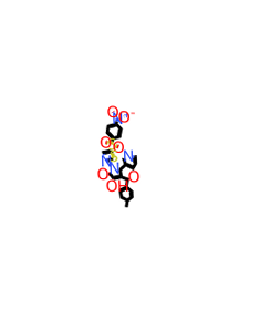 CC1C=CC(C(=O)C2=C(O)C(=O)N(c3ncc(S(=O)(=O)c4ccc([N+](=O)[O-])cc4)s3)C2c2cccnc2)=CC1